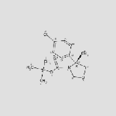 CC(C)(C)OC(=O)N1COC[C@@]1(C)c1ccc(Cl)cc1